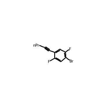 CCCC#Cc1cc(F)c(Br)cc1F